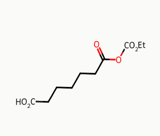 CCOC(=O)OC(=O)CCCCCC(=O)O